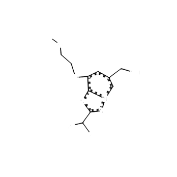 COCCOc1cc(CO)cn2nc(C(C)C)nc12